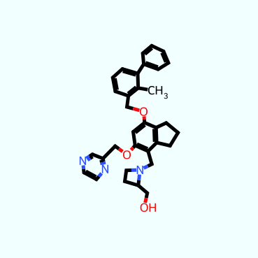 Cc1c(COc2cc(OCc3cnccn3)c(CN3CCC3CO)c3c2CCC3)cccc1-c1ccccc1